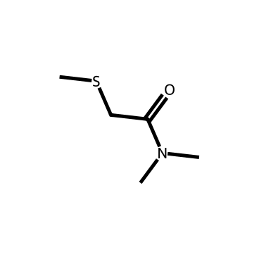 CSCC(=O)N(C)C